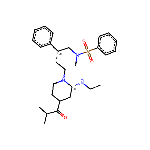 CCN[C@@H]1CC(C(=O)C(C)C)CCN1CC[C@@H](CN(C)S(=O)(=O)c1ccccc1)c1ccccc1